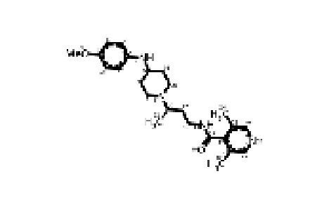 COc1ccc(NC2CCN([C@H](C)CCNC(=O)c3c(C)cncc3C)CC2)cc1